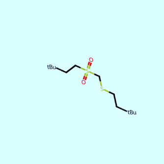 CC(C)(C)CCSCS(=O)(=O)CCC(C)(C)C